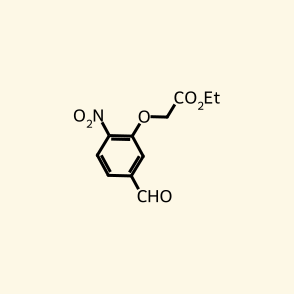 CCOC(=O)COc1cc(C=O)ccc1[N+](=O)[O-]